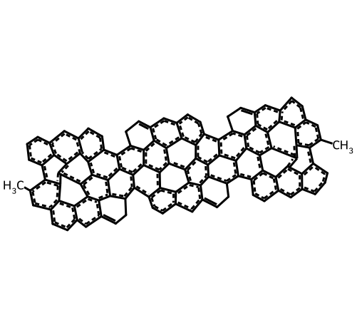 Cc1cc2ccc3cc4c5c6c(c7c8ccc9cc%10c%11c%12c(c%13c%14ccc%15cc%16cccc%17c%18c(C)cc%19ccc%20cc%21c%22c%23c(c%24c%25ccc%26cc%27c%28c%29c(c%30c%31ccc%32cc%33cccc%34c1c1c2c3c5c2c(c%31c%32c(c%33%34)c12)c6c%30c7c%29c1c8c9c%11c2c(c%25c%26c%28c12)c%12c%24c%13c%23c1c%14c%15c(c%16%17)c2c%18c%19c%20c%22c12)CC=%27)CC=%21)CC=%10)CC=4